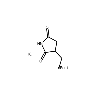 CCCCCCC1CC(=O)NC1=O.Cl